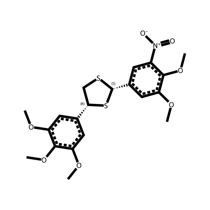 COc1cc([C@@H]2CS[C@H](c3cc(OC)c(OC)c([N+](=O)[O-])c3)S2)cc(OC)c1OC